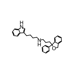 c1ccc(C2(CCCNCCCCc3c[nH]c4ccccc34)OCc3ccccc32)cc1